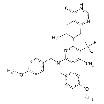 COc1ccc(CN(Cc2ccc(OC)cc2)c2cc(C)c(C(F)(F)F)c(C3Cc4nc[nH]c(=O)c4CC3C)n2)cc1